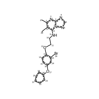 Cc1nc2ncnn2c(NCCOc2ccc(Oc3ccccc3)cc2Br)c1C